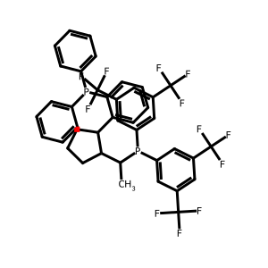 CC(C1CCCC1c1ccccc1P(c1ccccc1)c1ccccc1)P(c1cc(C(F)(F)F)cc(C(F)(F)F)c1)c1cc(C(F)(F)F)cc(C(F)(F)F)c1